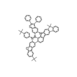 CC(C)(C)c1ccc(N2B3c4cc5sc(-c6ccccc6)c(-c6ccccc6)c5cc4-n4c5cc6c(cc5c5ccc(c3c54)-c3cc4c(cc32)oc2ccc(C(C)(C)C)cc24)-c2ccccc2C6(C)C)cc1